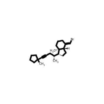 C[C@H](CC#CC1(C)CCCC1)[C@H]1CC[C@H]2/C(=C/Br)CCC[C@]12C